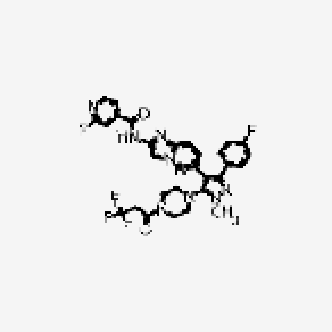 Cn1nc(-c2ccc(F)cc2)c(-c2ccc3nc(NC(=O)c4ccnc(F)c4)cn3n2)c1N1CCN(C(=O)CC(F)(F)F)CC1